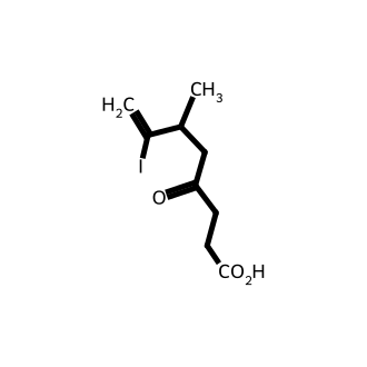 C=C(I)C(C)CC(=O)CCC(=O)O